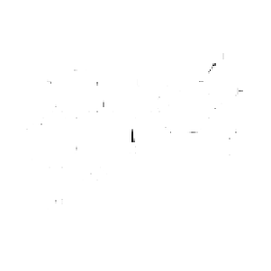 C=C[C@H]1CN2CC[C@H]1C[C@@H]2[C@@H](OC#CC)c1ccnc2ccc(OC)cc12